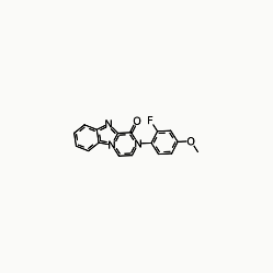 COc1ccc(-n2ccn3c(nc4ccccc43)c2=O)c(F)c1